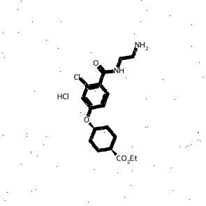 CCOC(=O)[C@H]1CC[C@@H](Oc2ccc(C(=O)NCCN)c(Cl)c2)CC1.Cl